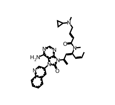 C=C(/C=C(\C=C/C)N(C)C(=O)/C=C/CN(C)C1CC1)n1c(=O)n(-c2cnc3ccccc3c2)c2c(N)ncnc21